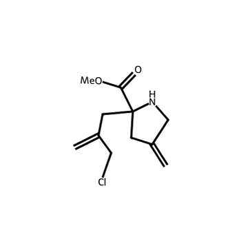 C=C(CCl)CC1(C(=O)OC)CC(=C)CN1